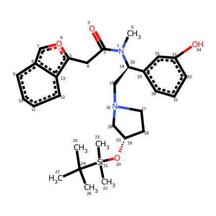 CN(C(=O)Cc1occ2ccccc12)[C@H](CN1CC[C@H](O[Si](C)(C)C(C)(C)C)C1)c1cccc(O)c1